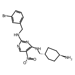 N[C@H]1CC[C@H](CNc2nc(NCc3cccc(Br)c3)ncc2[N+](=O)[O-])CC1